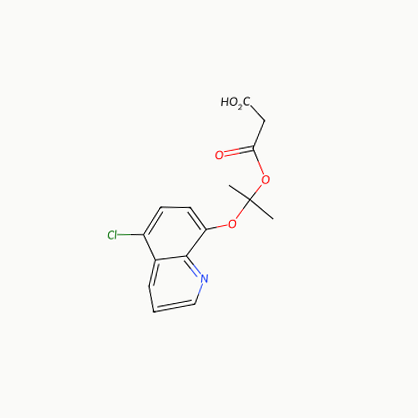 CC(C)(OC(=O)CC(=O)O)Oc1ccc(Cl)c2cccnc12